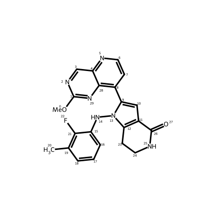 COc1ncc2nccc(-c3cc4c(n3Nc3cccc(C)c3F)CCNC4=O)c2n1